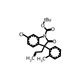 C=CCC1(c2ccccc2C)C(=O)N(C(=O)OC(C)(C)C)c2cc(Cl)ccc21